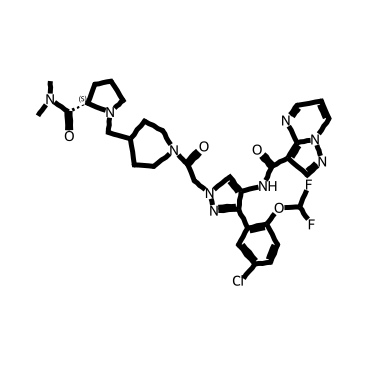 CN(C)C(=O)[C@@H]1CCCN1CC1CCN(C(=O)Cn2cc(NC(=O)c3cnn4cccnc34)c(-c3cc(Cl)ccc3OC(F)F)n2)CC1